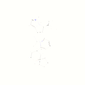 CC(C)[C@H]1C[C@H](NCC[C@@]2(c3ccccn3)CCOC3(CCCC3)C2)c2ccnn21